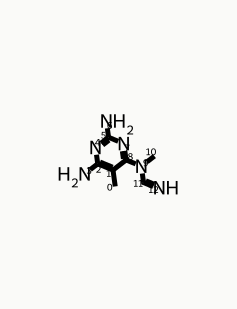 Cc1c(N)nc(N)nc1N(C)C=N